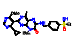 CC[C@@H](C)n1c(=O)c(NCc2ccc(S(=N)(=O)CC)cc2)nc2c(C)nc(-c3c(OC)ncnc3C3CC3)nc21